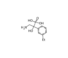 CCc1cccc(C(O)(CN)P(=O)(O)O)c1